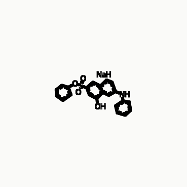 O=S(=O)(Oc1ccccc1)c1cc(O)c2cc(Nc3ccccc3)ccc2c1.[NaH]